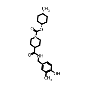 Cc1cc(CNC(=O)C2CCN(C(=O)O[C@H]3CC[C@@H](C)CC3)CC2)ccc1O